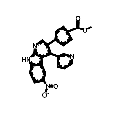 COC(=O)c1ccc(-c2cnc3[nH]c4ccc([N+](=O)[O-])cc4c3c2-c2cccnc2)cc1